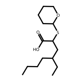 CCCCC(CC)CC(SC1CCCCO1)C(=O)O